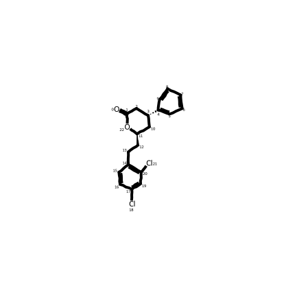 O=C1C[C@H](c2ccccc2)C[C@@H](CCc2ccc(Cl)cc2Cl)O1